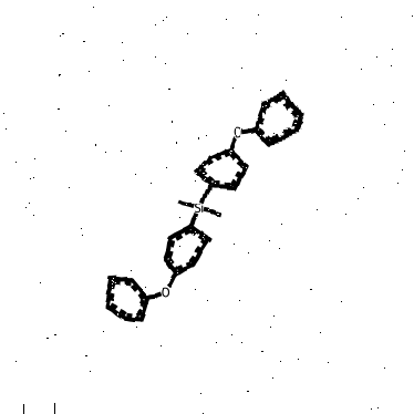 C[Si](C)(c1ccc(Oc2ccccc2)cc1)c1ccc(Oc2ccccc2)cc1